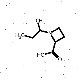 CCC(C)N1CCC1C(=O)O